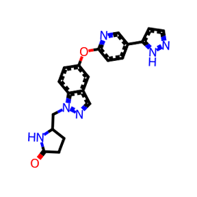 O=C1CCC(Cn2ncc3cc(Oc4ccc(-c5ccn[nH]5)cn4)ccc32)N1